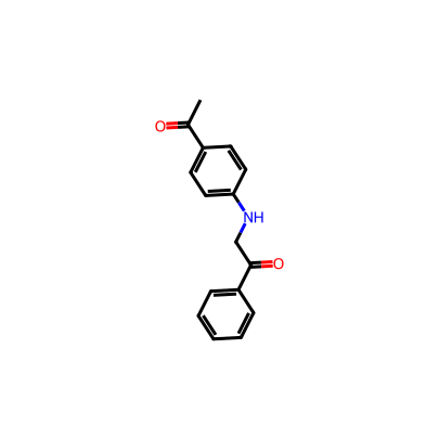 CC(=O)c1ccc(NCC(=O)c2ccccc2)cc1